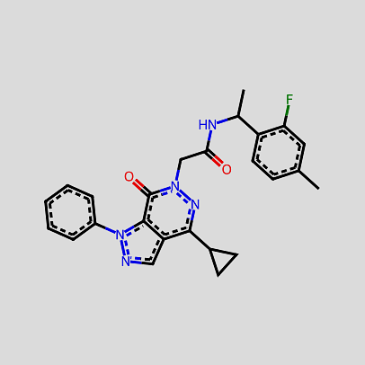 Cc1ccc(C(C)NC(=O)Cn2nc(C3CC3)c3cnn(-c4ccccc4)c3c2=O)c(F)c1